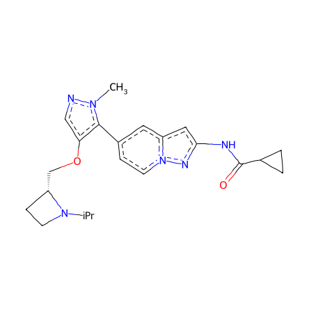 CC(C)N1CC[C@@H]1COc1cnn(C)c1-c1ccn2nc(NC(=O)C3CC3)cc2c1